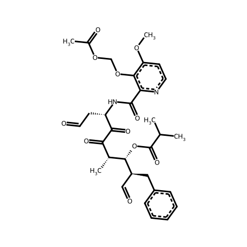 COc1ccnc(C(=O)N[C@@H](CC=O)C(=O)C(=O)[C@@H](C)[C@H](OC(=O)C(C)C)[C@H](C=O)Cc2ccccc2)c1OCOC(C)=O